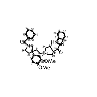 COc1ccc(C2(CCN3CCC(C(=O)c4nc5ccccc5[nH]4)CC3)CCN(C(=O)c3ccccc3)C2)cc1OC